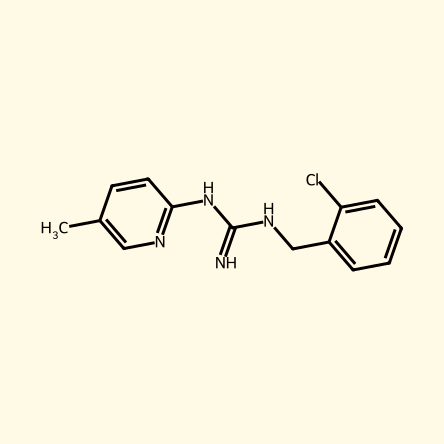 Cc1ccc(NC(=N)NCc2ccccc2Cl)nc1